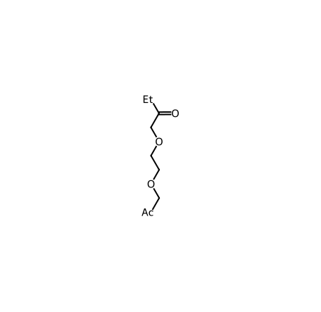 CCC(=O)COCCOCC(C)=O